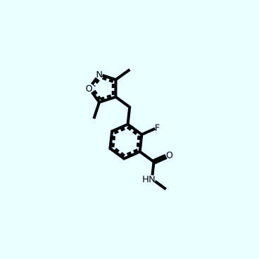 CNC(=O)c1cccc(Cc2c(C)noc2C)c1F